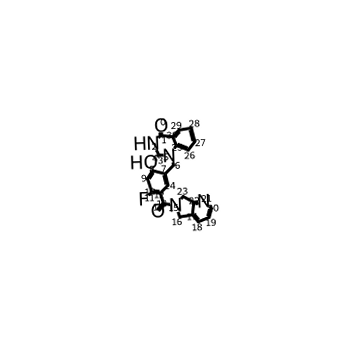 O=C1NC(O)N(Cc2ccc(F)c(C(=O)N3Cc4cccnc4C3)c2)c2ccccc21